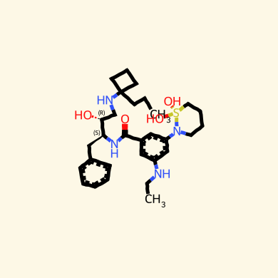 CCCC1(NC[C@@H](O)[C@H](Cc2ccccc2)NC(=O)c2cc(NCC)cc(N3CCCCS3(O)O)c2)CCC1